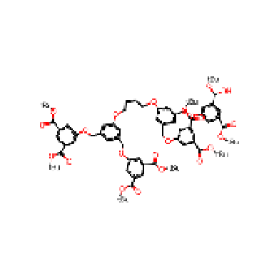 CC(C)(C)OC(=O)c1cc(OCc2cc(COc3cc(C(=O)OC(C)(C)C)cc(C(=O)OC(C)(C)C)c3)cc(OC/C=C\COc3cc(COc4cc(C(=O)OC(C)(C)C)cc(C(=O)OC(C)(C)C)c4)cc(COc4cc(C(=O)OC(C)(C)C)cc(C(O)OC(C)(C)C)c4)c3)c2)cc(C(=O)OC(C)(C)C)c1